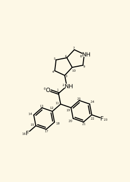 O=C(NC1CCC2CNCC21)C(c1ccc(F)cc1)c1ccc(F)cc1